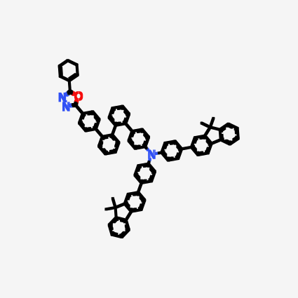 CC1(C)c2ccccc2-c2ccc(-c3ccc(N(c4ccc(-c5ccc6c(c5)C(C)(C)c5ccccc5-6)cc4)c4ccc(-c5ccccc5-c5ccccc5-c5ccc(-c6nnc(C7=CCCC=C7)o6)cc5)cc4)cc3)cc21